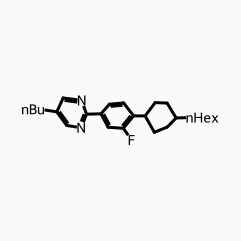 CCCCCCC1CCC(c2ccc(-c3ncc(CCCC)cn3)cc2F)CC1